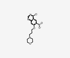 O=[N+]([O-])c1cc2c(Cl)ncnc2cc1OCCCN1CCOCC1